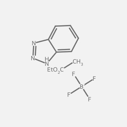 CCOC(C)=O.F[B-](F)(F)F.c1ccc2[nH]nnc2c1